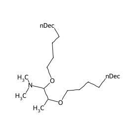 CCCCCCCCCCCCCCOC(C)C(OCCCCCCCCCCCCCC)N(C)C